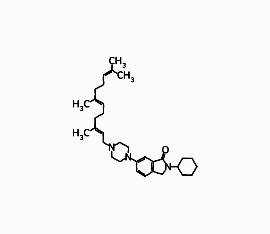 CC(C)=CCC/C(C)=C/CC/C(C)=C/CN1CCN(c2ccc3c(c2)C(=O)N(C2CCCCC2)C3)CC1